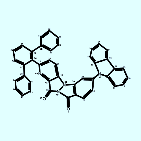 O=c1c2ccc(-n3c4ccccc4c4ccccc43)cc2n2c3ccc(-c4c(-c5ccccc5)cccc4-c4ccccc4)nc3c(=O)n12